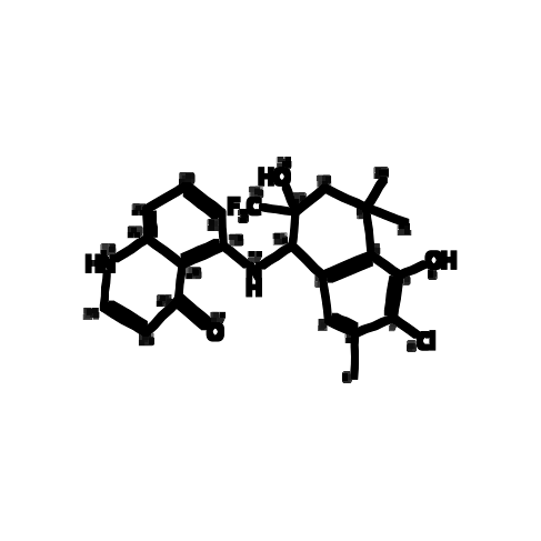 Cc1cc2c(c(O)c1Cl)C(C)(C)CC(O)(C(F)(F)F)C2Nc1cccc2[nH]ccc(=O)c12